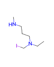 CCN(CI)CCCNC